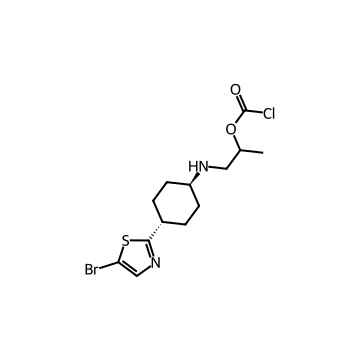 CC(CN[C@H]1CC[C@H](c2ncc(Br)s2)CC1)OC(=O)Cl